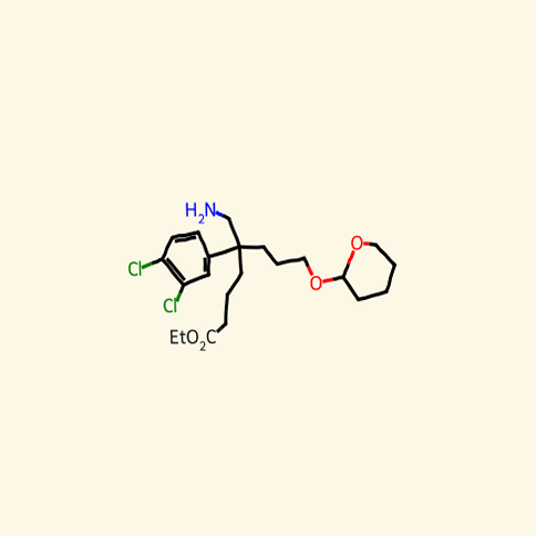 CCOC(=O)CCCC(CN)(CCCOC1CCCCO1)c1ccc(Cl)c(Cl)c1